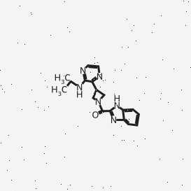 CC(C)Nc1nccnc1C1CN(C(=O)c2nc3ccccc3[nH]2)C1